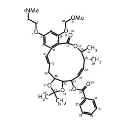 CNCCOc1cc2c(c(OCOC)c1)C(=O)OC(C)[C@H](C)/C=C\C(OC(=O)c1ccccc1)C1OC(C)(C)OC1C/C=C/2